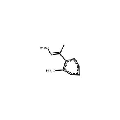 CON=C(C)c1ccccc1C(=O)O